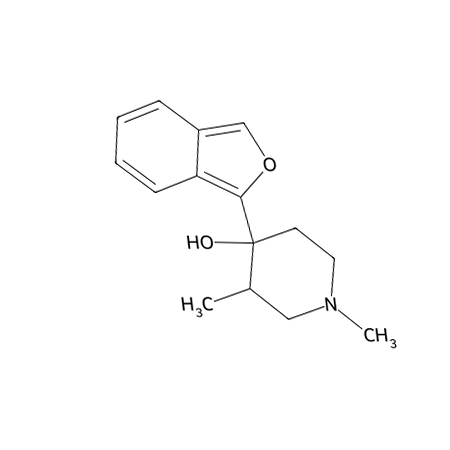 CC1CN(C)CCC1(O)c1occ2ccccc12